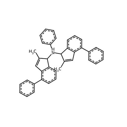 CC1=Cc2c(-c3ccccc3)cccc2C1[SiH](c1ccccc1)C1C(C)=Cc2c(-c3ccccc3)cccc21